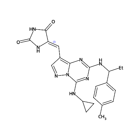 CCC(Nc1nc(NC2CC2)n2ncc(/C=C3\NC(=O)NC3=O)c2n1)c1ccc(C)cc1